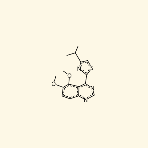 COc1ccc2n[c]nc(-c3nc(C(C)C)cs3)c2c1OC